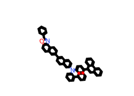 c1ccc(-c2nc3c(ccc4cc(-c5ccc6cc(N(c7ccc(-c8cc9ccccc9c9ccccc89)cc7)c7ccccc7-c7ccccc7)ccc6c5)ccc43)o2)cc1